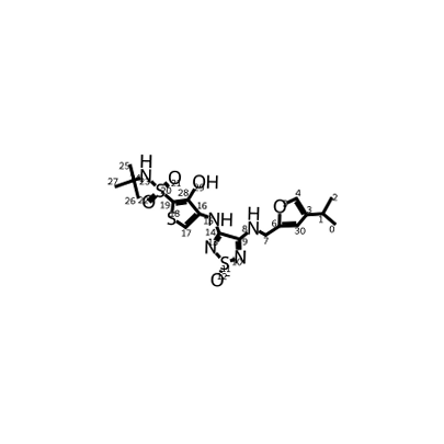 CC(C)c1coc(CNc2n[s+]([O-])nc2Nc2csc(S(=O)(=O)NC(C)(C)C)c2O)c1